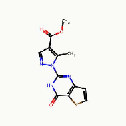 COC(=O)c1cnn(-c2nc3ccsc3c(=O)[nH]2)c1C